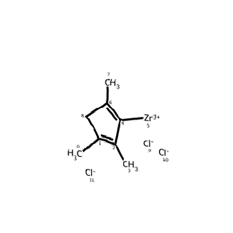 CC1=C(C)[C]([Zr+3])=C(C)C1.[Cl-].[Cl-].[Cl-]